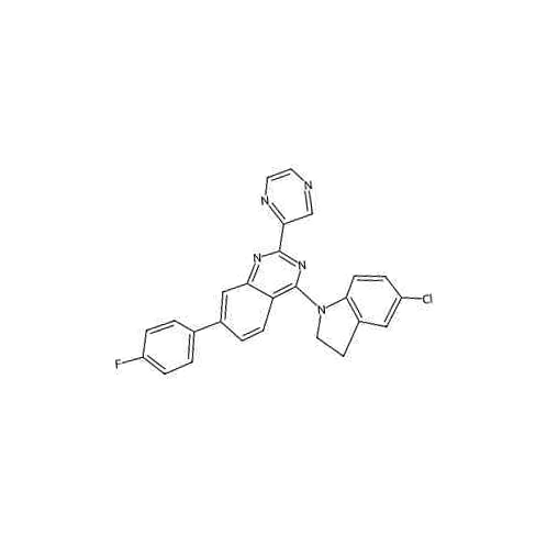 Fc1ccc(-c2ccc3c(N4CCc5cc(Cl)ccc54)nc(-c4cnccn4)nc3c2)cc1